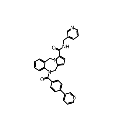 O=C(NCc1cccnc1)c1ccc2n1Cc1ccccc1N(C(=O)c1ccc(-c3cccnc3)cc1)C2